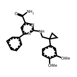 COc1ccc(C2(CNc3nc(C(N)=O)cc(-c4ccccc4)n3)CC2)cc1OC